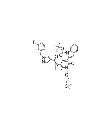 Cc1c(NC(=O)c2cnn(Cc3cccc(F)c3)c2)cc(-c2cc3ccccc3n2C(=O)OC(C)(C)C)c(=O)n1COCC[Si](C)(C)C